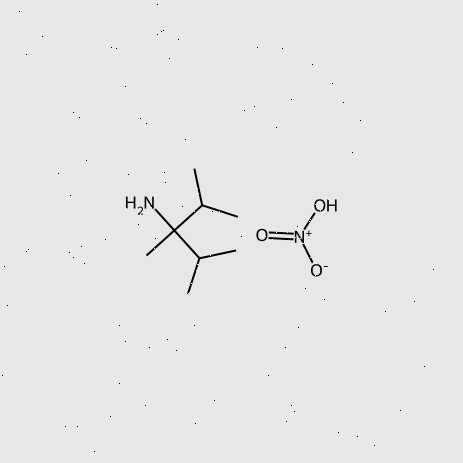 CC(C)C(C)(N)C(C)C.O=[N+]([O-])O